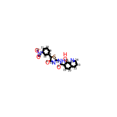 O=C(NC1=NC(=O)C(c2cccc([N+](=O)[O-])c2)S1)c1ccc2cccnc2c1O